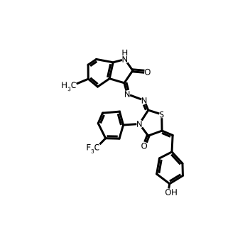 Cc1ccc2c(c1)C(=NN=C1SC(=Cc3ccc(O)cc3)C(=O)N1c1cccc(C(F)(F)F)c1)C(=O)N2